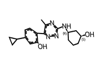 Cc1nc(N[C@@H]2CCC[C@H](O)C2)nnc1-c1ccc(C2CC2)cc1O